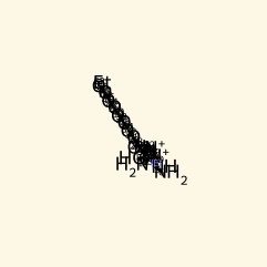 C=C1/C(=C\NCN)C(c2ccc(O)c(N)c2)=[N+]1CC1n2c3c(c[n+]21)CN(C(=O)CCOCCOCCOCCOCCOCCOCCOCCOCC)CC3